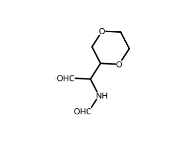 O=[C]C(NC=O)C1COCCO1